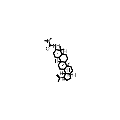 C=C(C)[C@@H]1CC[C@@H]2CC[C@]3(C)[C@H](CC[C@@H]4[C@@]5(C)CCC(NC(=O)N(C)C)C(C)(C)[C@@H]5CC[C@]43C)[C@H]21